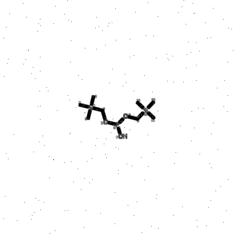 C[Si](C)(C)COP(O)OC[Si](C)(C)C